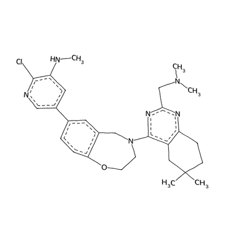 CNc1cc(-c2ccc3c(c2)CN(c2nc(CN(C)C)nc4c2CC(C)(C)CC4)CCO3)cnc1Cl